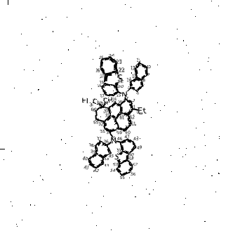 CCc1cc(N(c2ccc3ccccc3c2)c2cccc3c2sc2ccccc23)c2cc3c4c(cc(N(c5ccc6ccccc6c5)c5cccc6c5sc5ccccc56)c5ccc1c2c54)CCC3(C)C